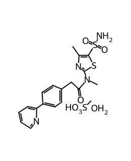 CS(=O)(=O)O.Cc1nc(N(C)C(=O)Cc2ccc(-c3ccccn3)cc2)sc1S(N)(=O)=O.O